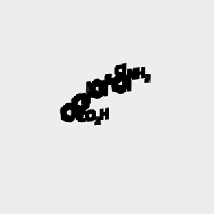 Nc1nccc(Sc2cnc(N3CCC4(CCCCN4C(=O)O)CC3)cn2)c1Cl